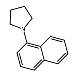 [c]1cccc2cccc(N3CCCC3)c12